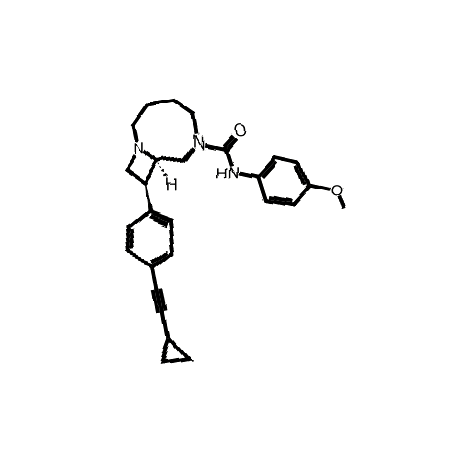 COc1ccc(NC(=O)N2CCCCN3C[C@H](c4ccc(C#CC5CC5)cc4)[C@@H]3C2)cc1